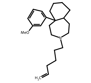 C=CCCCCN1CCC2CCCCC2(c2cccc(OC)c2)CC1